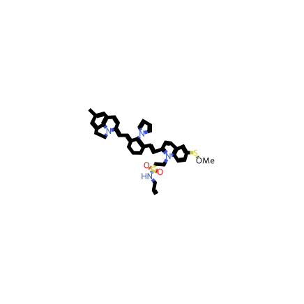 C=CCNS(=O)(=O)CC[n+]1c(/C=C/C2=C(n3cccc3)C(=C/C=C3\C=Cc4cc(C)cc5c4N3CC5)/CCC2)ccc2cc(SOC)ccc21